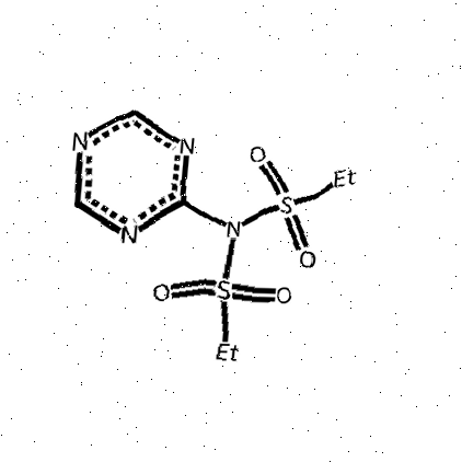 CCS(=O)(=O)N(c1ncncn1)S(=O)(=O)CC